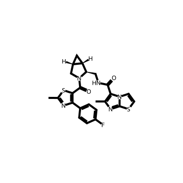 Cc1nc(-c2ccc(F)cc2)c(C(=O)N2C[C@@H]3C[C@@H]3[C@H]2CNC(=O)c2c(C)nc3sccn23)s1